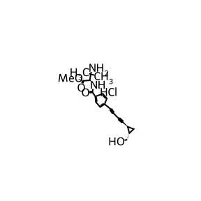 COC(=O)[C@@H](NC(=O)c1ccc(C#CC#C[C@H]2C[C@@H]2CO)cc1)C(C)(C)N.Cl